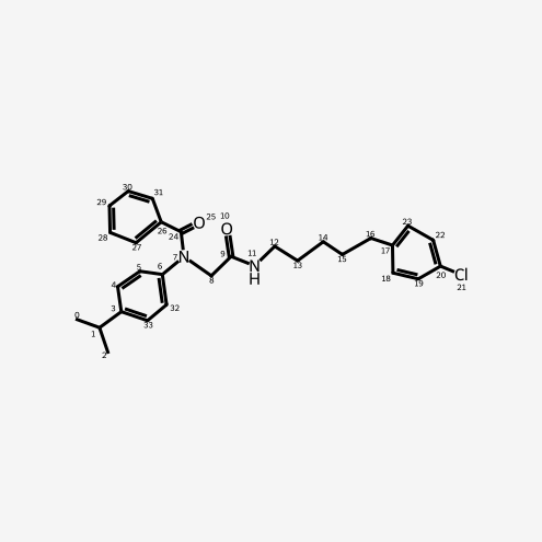 CC(C)c1ccc(N(CC(=O)NCCCCCc2ccc(Cl)cc2)C(=O)c2ccccc2)cc1